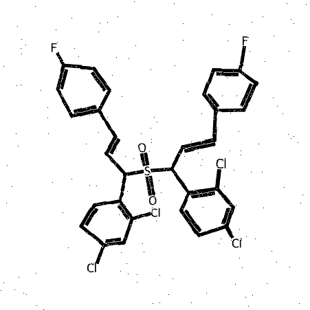 O=S(=O)(C(C=Cc1ccc(F)cc1)c1ccc(Cl)cc1Cl)C(C=Cc1ccc(F)cc1)c1ccc(Cl)cc1Cl